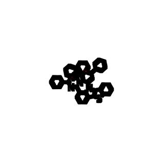 c1ccc(-c2cc(-c3ccccc3)cc(-n3c4c(-c5nc(-c6ccccc6)nc(-c6ccccc6)n5)cccc4c4sc5ccccc5c43)c2)cc1